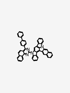 c1ccc(-c2ccc(-c3nc(-n4c5ccccc5c5c6c7cc8ccccc8cc7n7c8ccccc8c(cc54)c67)nc4c3ccc3ccccc34)cc2)cc1